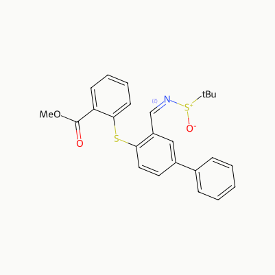 COC(=O)c1ccccc1Sc1ccc(-c2ccccc2)cc1/C=N\[S+]([O-])C(C)(C)C